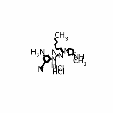 CCCCc1cc(N2CC[C@H](NC)C2)nc(Nc2cc(N)cc(C#N)c2)n1.Cl.Cl